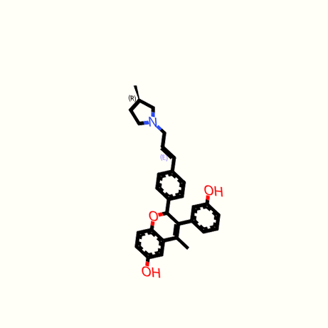 CC1=C(c2cccc(O)c2)C(c2ccc(/C=C/CN3CC[C@@H](C)C3)cc2)Oc2ccc(O)cc21